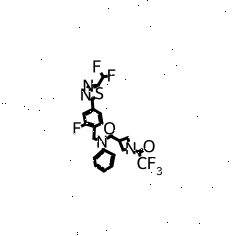 O=C(C1CN(C(=O)C(F)(F)F)C1)N(Cc1ccc(-c2nnc(C(F)F)s2)cc1F)c1ccccc1